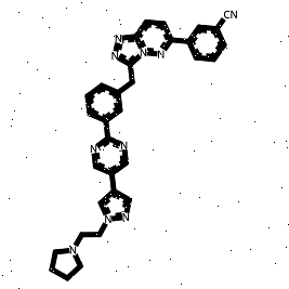 N#Cc1cccc(-c2ccc3nnc(Cc4cccc(-c5ncc(-c6cnn(CCN7CCCC7)c6)cn5)c4)n3n2)c1